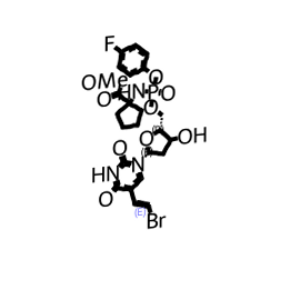 COC(=O)C1(NP(=O)(OC[C@H]2O[C@@H](n3cc(/C=C/Br)c(=O)[nH]c3=O)CC2O)Oc2ccc(F)cc2)CCCC1